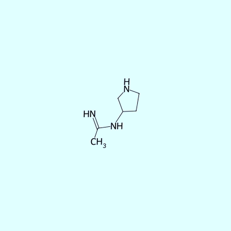 CC(=N)NC1CCNC1